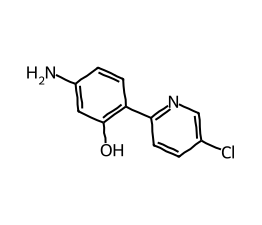 Nc1ccc(-c2ccc(Cl)cn2)c(O)c1